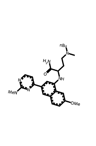 CCCCN(C)CCC(Nc1cc(-c2ccnc(NC)n2)cc2ccc(OC)cc12)C(N)=O